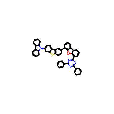 c1ccc(-c2nc(-c3ccccc3)nc(-c3cccc4c3oc3c(-c5ccc6sc7cc(-n8c9ccccc9c9ccccc98)ccc7c6c5)cccc34)n2)cc1